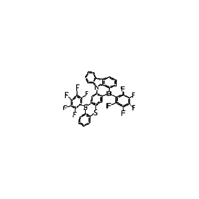 Fc1c(F)c(F)c(B2c3ccccc3Sc3cc4c(cc32)-n2c3ccccc3c3cccc(c32)B4c2c(F)c(F)c(F)c(F)c2F)c(F)c1F